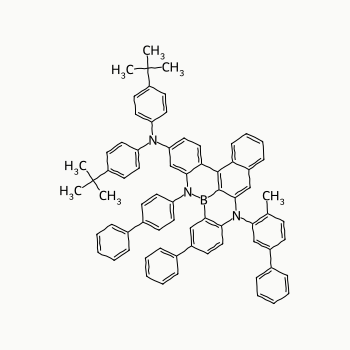 Cc1ccc(-c2ccccc2)cc1N1c2ccc(-c3ccccc3)cc2B2c3c1cc1ccccc1c3-c1ccc(N(c3ccc(C(C)(C)C)cc3)c3ccc(C(C)(C)C)cc3)cc1N2c1ccc(-c2ccccc2)cc1